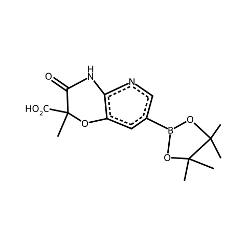 CC1(C(=O)O)Oc2cc(B3OC(C)(C)C(C)(C)O3)cnc2NC1=O